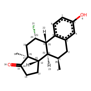 C[C@@H]1Cc2cc(O)ccc2[C@@H]2[C@@H]1[C@@H]1CCC(=O)[C@@]1(C)C[C@@H]2F